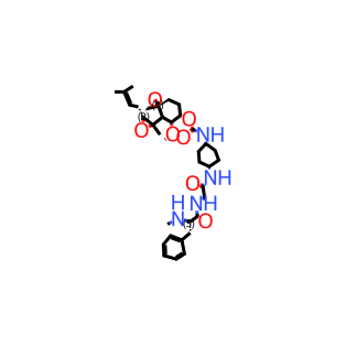 CN[C@@H](Cc1ccccc1)C(=O)NCC(=O)N[C@H]1CC[C@H](NC(=O)OC2CC[C@]3(CO3)C(C3(C)O[C@@H]3CC=C(C)C)C2OC)CC1